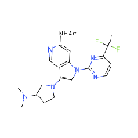 CC(=O)Nc1cc2c(cn1)c(N1CCC(N(C)C)C1)cn2-c1nccc(C(C)(F)F)n1